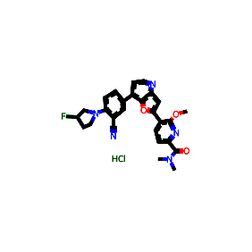 COc1nc(C(=O)N(C)C)ccc1-c1cc2nccc(-c3ccc(N4CCC(F)C4)c(C#N)c3)c2o1.Cl